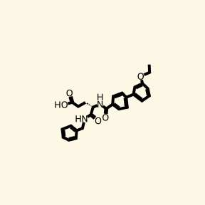 CCOc1cccc(-c2ccc(C(=O)N[C@@H](CCC(=O)O)C(=O)NCc3ccccc3)cc2)c1